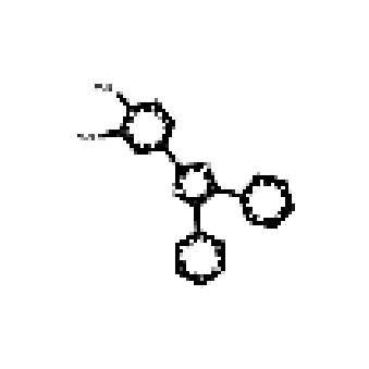 COc1ccc(-c2nc(-c3ccccc3)c(-c3ccccc3)s2)cc1OC